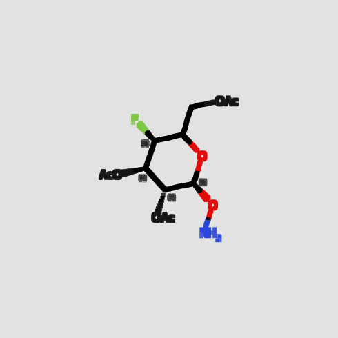 CC(=O)OCC1O[C@@H](ON)[C@H](OC(C)=O)[C@@H](OC(C)=O)[C@H]1F